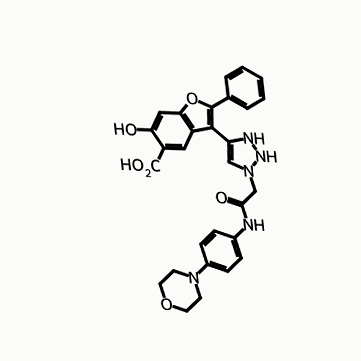 O=C(CN1C=C(c2c(-c3ccccc3)oc3cc(O)c(C(=O)O)cc23)NN1)Nc1ccc(N2CCOCC2)cc1